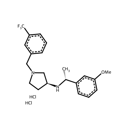 COc1cccc([C@@H](C)N[C@H]2CCN(Cc3cccc(C(F)(F)F)c3)C2)c1.Cl.Cl